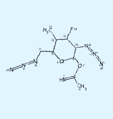 CC(=N)OC1OC(CN=[N+]=[N-])C(C)C(F)C1N=[N+]=[N-]